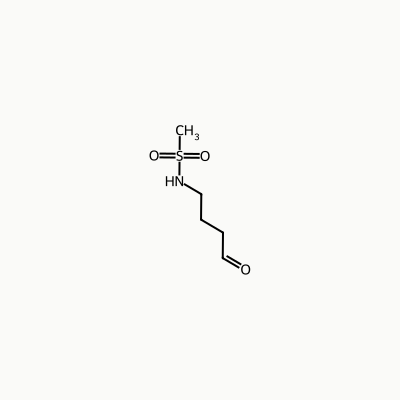 CS(=O)(=O)NCCCC=O